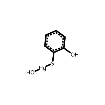 [OH][Hg][S]c1ccccc1O